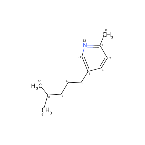 Cc1ccc(CCCC(C)C)cn1